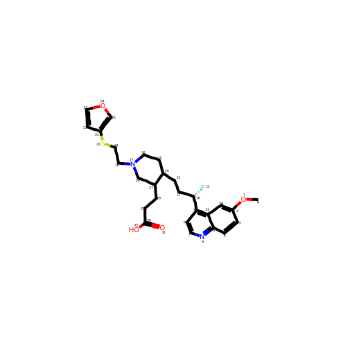 COc1ccc2nccc([C@@H](F)CCC3CCN(CCSc4ccoc4)CC3CCC(=O)O)c2c1